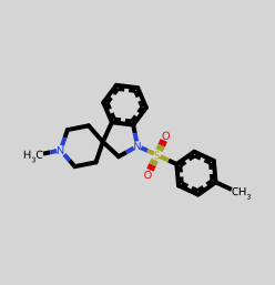 Cc1ccc(S(=O)(=O)N2CC3(CCN(C)CC3)c3ccccc32)cc1